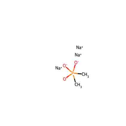 CP(C)([O-])([O-])[O-].[Na+].[Na+].[Na+]